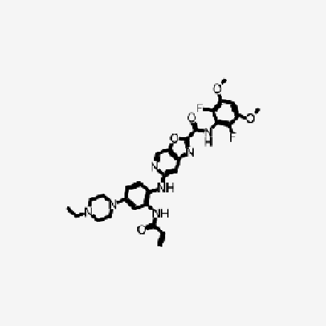 C=CC(=O)Nc1cc(N2CCN(CC)CC2)ccc1Nc1cc2nc(C(=O)Nc3c(F)c(OC)cc(OC)c3F)oc2cn1